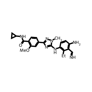 CCc1c(Nc2nc(-c3ccc(C(=O)NC4CC4)c(OC)c3)nn2C)ccc(N)c1C=N